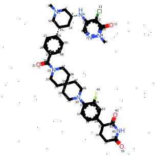 CN1C[C@H](Nc2cnn(C)c(=O)c2Cl)C[C@H](c2ccc(C(=O)N3CCC4(CC3)CCN(c3ccc(C5CCC(=O)NC5=O)cc3F)CC4)cc2)C1